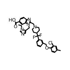 CCn1cncc1Cn1c(CN2CCC(C(F)(F)c3cccc(COc4ccc(C)cc4Cl)c3)CC2)nc2ccc(C(=O)O)cc21